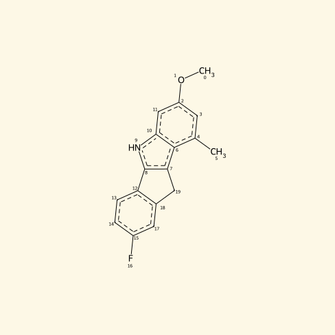 COc1cc(C)c2c3c([nH]c2c1)-c1ccc(F)cc1C3